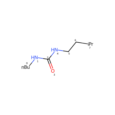 CCCCNC(=O)NCCC(C)C